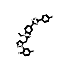 CCn1c(Cc2ccnn2-c2cc(F)ccc2F)nc2cc(-c3nnc(-c4ccc(F)cc4)o3)ccc21